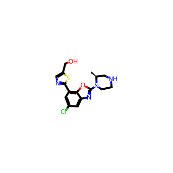 C[C@H]1CNCCN1c1nc2cc(Cl)cc(-c3ncc(CO)s3)c2o1